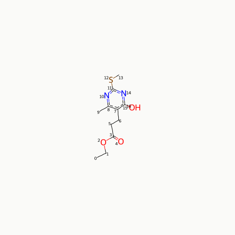 CCOC(=O)CCc1c(C)nc(SC)nc1O